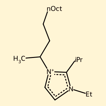 CCCCCCCCCCC(C)[n+]1ccn(CC)c1C(C)C